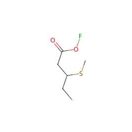 CCC(CC(=O)OF)SC